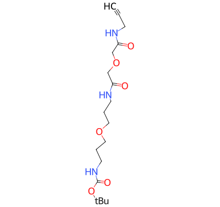 C#CCNC(=O)COCC(=O)NCCCOCCCNC(=O)OC(C)(C)C